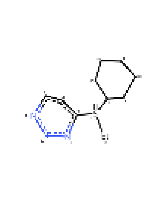 CC[SiH](c1ccnnn1)C1CCCCC1